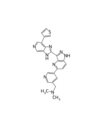 CN(C)Cc1cncc(-c2ccc3[nH]nc(-c4nc5c(-c6ccsc6)cncc5[nH]4)c3n2)c1